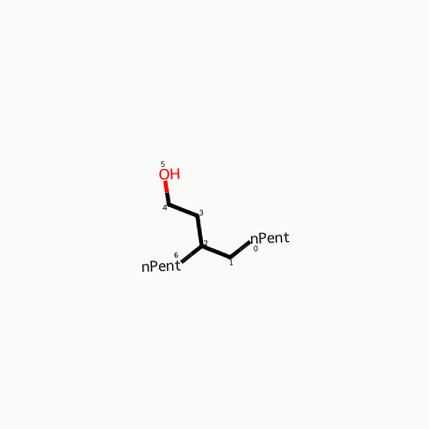 CCCCCCC(CCO)CCCCC